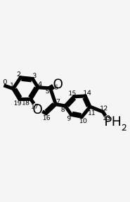 Cc1ccc2c(=O)c(-c3ccc(CP)cc3)coc2c1